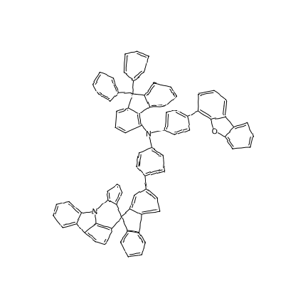 c1ccc(C2(c3ccccc3)c3ccccc3-c3c(N(c4ccc(-c5ccc6c(c5)C5(c7ccccc7-6)c6ccccc6-n6c7ccccc7c7cccc5c76)cc4)c4ccc(-c5cccc6c5oc5ccccc56)cc4)cccc32)cc1